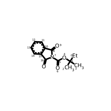 CCC(C)(C)OC(=O)N1C(=O)c2ccccc2C1=O